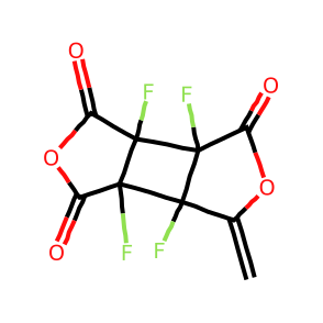 C=C1OC(=O)C2(F)C1(F)C1(F)C(=O)OC(=O)C21F